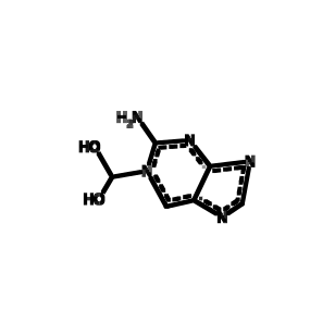 Nc1nc2ncnc-2cn1C(O)O